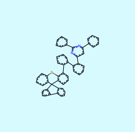 c1ccc(-c2cc(-c3ccccc3-c3ccccc3-c3cccc4c3Sc3ccccc3C43c4ccccc4-c4ccccc43)nc(-c3ccccc3)n2)cc1